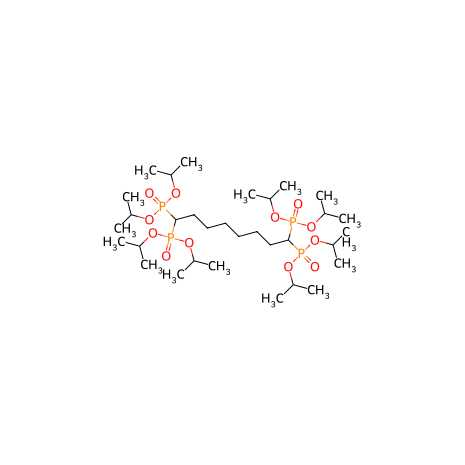 CC(C)OP(=O)(OC(C)C)C(CCCCCCC(P(=O)(OC(C)C)OC(C)C)P(=O)(OC(C)C)OC(C)C)P(=O)(OC(C)C)OC(C)C